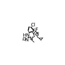 CCN1C[C@@](OCC2CC2)(C(F)(F)F)c2cc(Cl)ccc2N/C1=N\OC